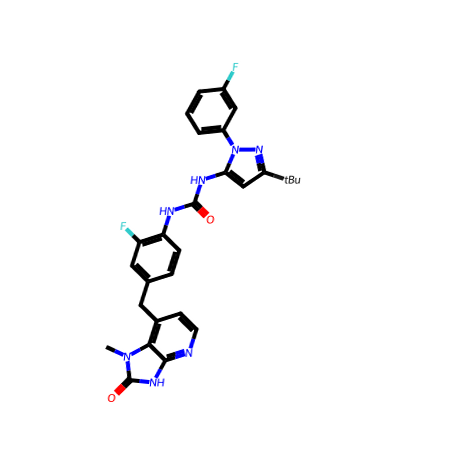 Cn1c(=O)[nH]c2nccc(Cc3ccc(NC(=O)Nc4cc(C(C)(C)C)nn4-c4cccc(F)c4)c(F)c3)c21